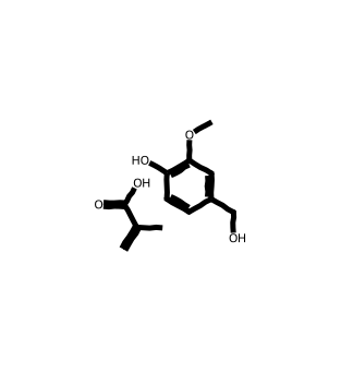 C=C(C)C(=O)O.COc1cc(CO)ccc1O